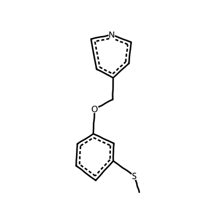 CSc1cccc(OCc2ccncc2)c1